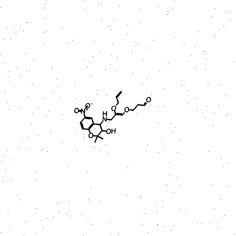 C=CCO/C(=C\OCCC=O)CNC1c2cc([N+](=O)[O-])ccc2OC(C)(C)C1O